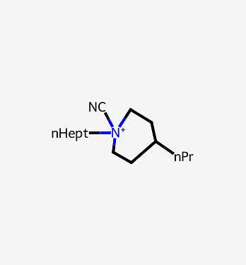 CCCCCCC[N+]1(C#N)CCC(CCC)CC1